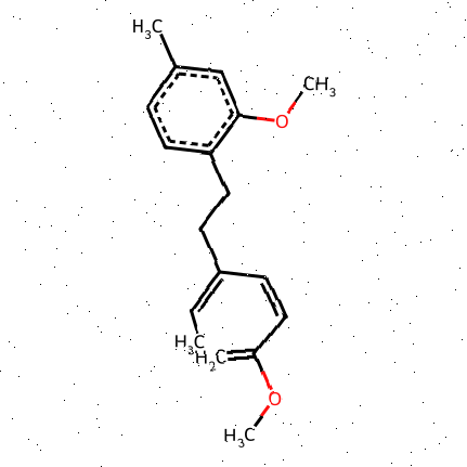 C=C(/C=C\C(=C/C)CCc1ccc(C)cc1OC)OC